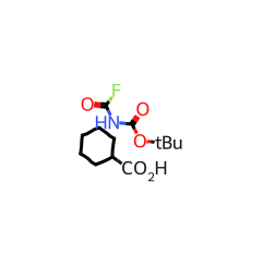 CC(C)(C)OC(=O)NC(=O)F.O=C(O)C1CCCCC1